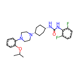 CC(C)Oc1ccccc1N1CCN([C@H]2CC[C@@H](NC(=O)Nc3c(F)cccc3F)CC2)CC1